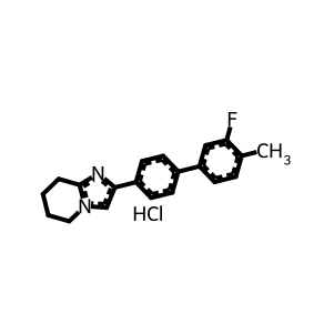 Cc1ccc(-c2ccc(-c3cn4c(n3)CCCC4)cc2)cc1F.Cl